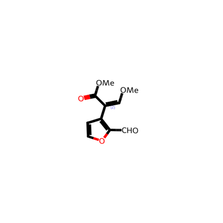 CO/C=C(\C(=O)OC)c1ccoc1C=O